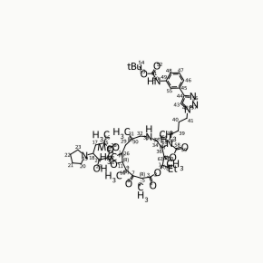 CC[C@H]1OC(=O)[C@H](C)C(=O)[C@H](C)[C@@H](O[C@@H]2OC(C)CC(N3CCCC3)C2O)[C@](C)(OC)C[C@@H](C)CN[C@H](C)[C@H]2N(CCCCn3cc(-c4cccc(NC(=O)OC(C)(C)C)c4)nn3)C(=O)O[C@]12C